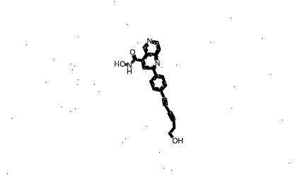 O=C(NO)c1cc(-c2ccc(C#CC#CCCO)cc2)nc2ccncc12